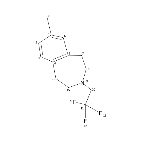 Cc1ccc2c(c1)CCN(CC(F)(F)F)CC2